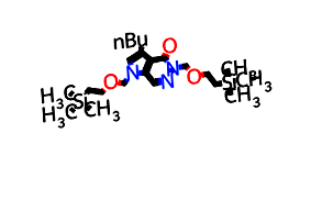 CCCCc1cn(COCC[Si](C)(C)C)c2cnn(COCC[Si](C)(C)C)c(=O)c12